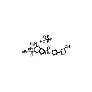 CCCN(CCC)C(=O)C1=Cc2ccc(C(=O)Nc3ccc(N4CCCC(O)C4)cc3)cc2N=C(N)C1.O=C(O)C(F)(F)F